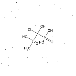 CP(=O)(O)C(O)(Cl)P(=O)(O)O